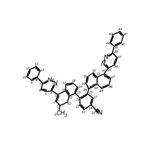 CC1C=C(c2ccc(-c3ccccc3)nn2)c2cccc(-c3ccc(C#N)cc3-c3cccc4c(-c5ccc(-c6ccccc6)nn5)cccc34)c2C1